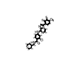 COc1ccc(-c2cnc3c(Nc4ccc(C(=O)NCC5CCSCC5)c(Cl)c4)nccn23)c(F)c1F